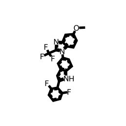 COc1ccc2c(c1)nc(C(F)(F)F)n2-c1ccc2[nH]c(-c3c(F)cccc3F)cc2c1